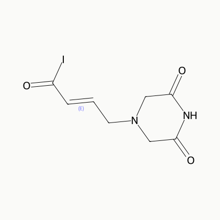 O=C(I)/C=C/CN1CC(=O)NC(=O)C1